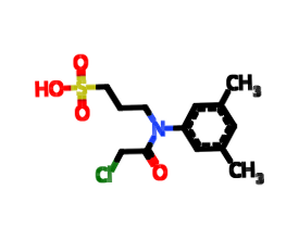 Cc1cc(C)cc(N(CCCS(=O)(=O)O)C(=O)CCl)c1